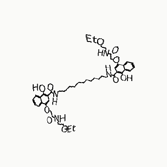 CCOCCNC(=O)COc1cc(C(=O)NCCCCCCCCCCCCNC(=O)c2cc(OCC(=O)NCCOCC)c3ccccc3c2O)c(O)c2ccccc12